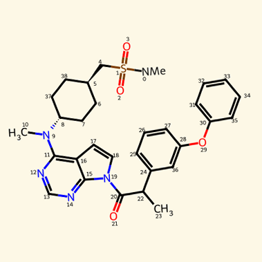 CNS(=O)(=O)C[C@H]1CC[C@H](N(C)c2ncnc3c2ccn3C(=O)C(C)c2cccc(Oc3ccccc3)c2)CC1